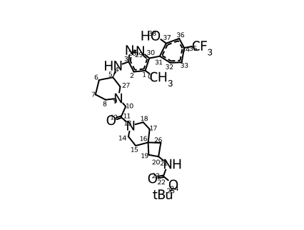 Cc1cc(N[C@@H]2CCCN(CC(=O)N3CCC4(CC3)CC(NC(=O)OC(C)(C)C)C4)C2)nnc1-c1ccc(C(F)(F)F)cc1O